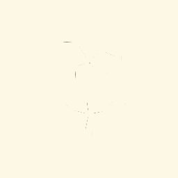 CO[Si](C)(C)OC.CO[Si](C)(OC)OC.O